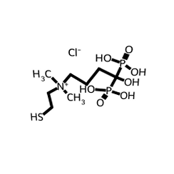 C[N+](C)(CCS)CCCC(O)(P(=O)(O)O)P(=O)(O)O.[Cl-]